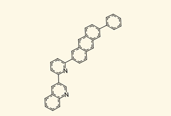 c1ccc(-c2ccc3cc4cc(-c5cccc(-c6cnc7ccccc7c6)n5)ccc4cc3c2)cc1